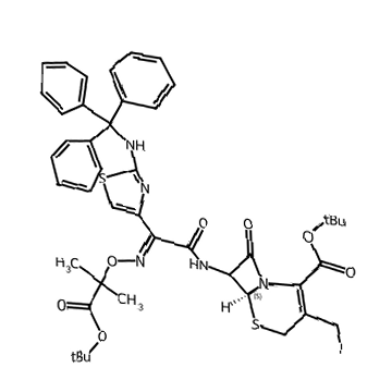 CC(C)(C)OC(=O)C1=C(CI)CS[C@H]2C(NC(=O)C(=NOC(C)(C)C(=O)OC(C)(C)C)c3csc(NC(c4ccccc4)(c4ccccc4)c4ccccc4)n3)C(=O)N12